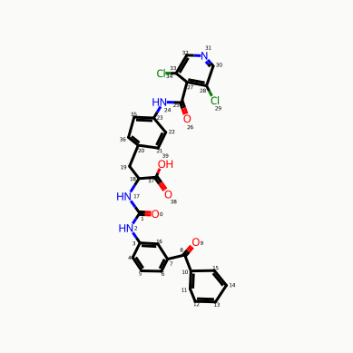 O=C(Nc1cccc(C(=O)c2ccccc2)c1)NC(Cc1ccc(NC(=O)c2c(Cl)cncc2Cl)cc1)C(=O)O